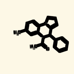 CC(=O)N1c2cc(C)ccc2-n2cccc2C1c1ccccc1